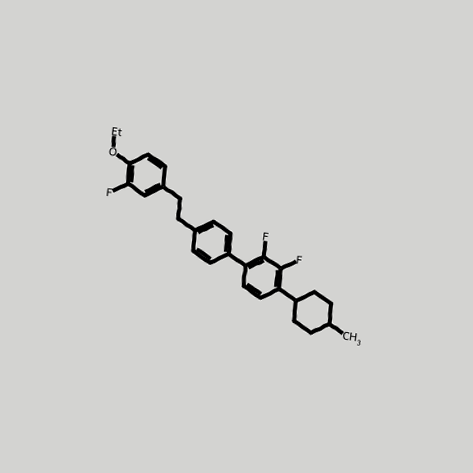 CCOc1ccc(CCc2ccc(-c3ccc(C4CCC(C)CC4)c(F)c3F)cc2)cc1F